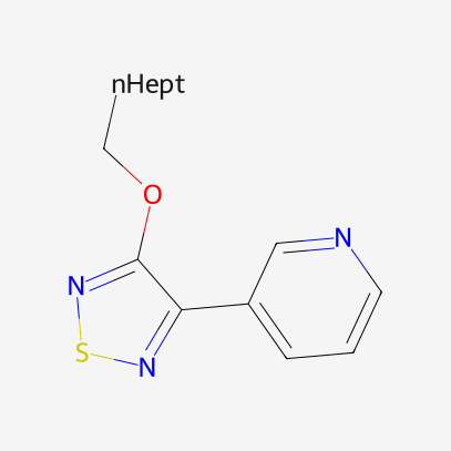 CCCCCCCCOc1nsnc1-c1cccnc1